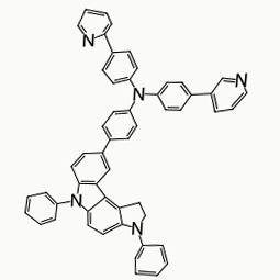 c1ccc(N2CCc3c2ccc2c3c3cc(-c4ccc(N(c5ccc(-c6cccnc6)cc5)c5ccc(-c6ccccn6)cc5)cc4)ccc3n2-c2ccccc2)cc1